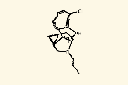 CCCN1CCC2CC2(c2n[nH]c3c(Cl)cccc23)C1